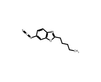 CCCCCc1nc2ccc(N=C=S)cc2o1